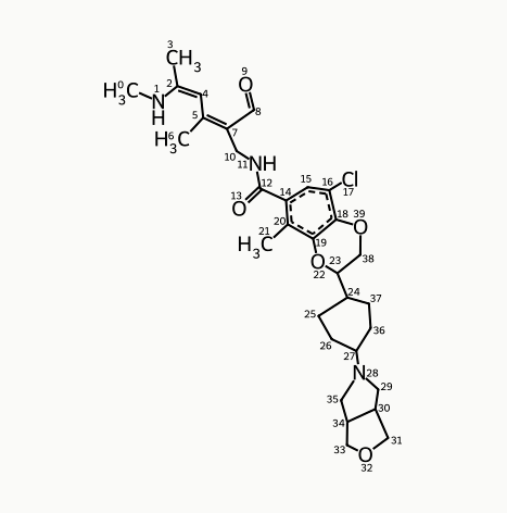 CN/C(C)=C\C(C)=C(/C=O)CNC(=O)c1cc(Cl)c2c(c1C)OC(C1CCC(N3CC4COCC4C3)CC1)CO2